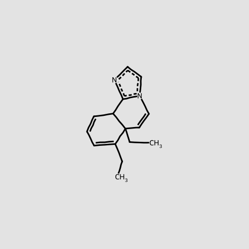 CCC1=CC=CC2c3nccn3C=CC12CC